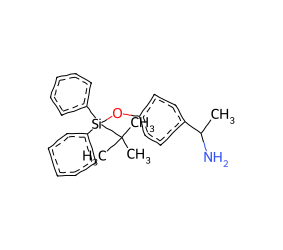 CC(N)c1ccc(O[Si](c2ccccc2)(c2ccccc2)C(C)(C)C)cc1